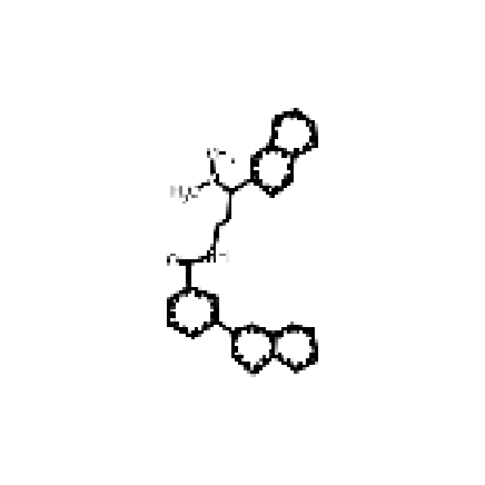 CN(C)C(CCNC(=O)c1cccc(-c2ccc3ccccc3c2)c1)c1ccc2ccccc2c1